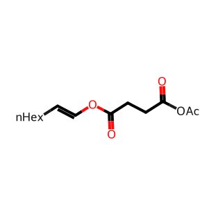 CCCCCCC=COC(=O)CCC(=O)OC(C)=O